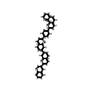 c1ccc2ncc(-c3ccc4ccc(-c5ccc6ccc(-c7ccc(-c8ccc9ccc%10cccnc%10c9n8)cc7)nc6c5)cc4n3)cc2c1